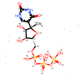 C[C@@]1(c2c[nH]c(=O)[nH]c2=O)O[C@H](COP(=O)(O)OP(=O)(O)OP(=O)(O)O)[C@@H](O)[C@H]1O